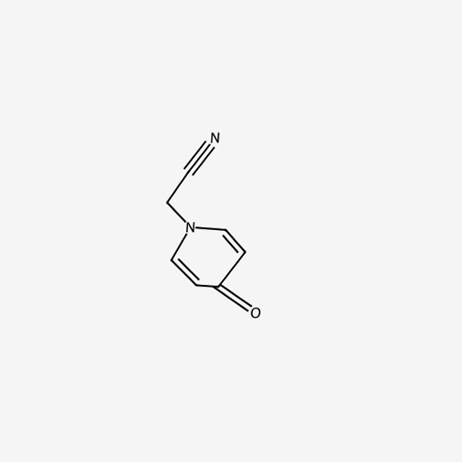 N#CCn1ccc(=O)cc1